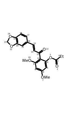 CCC(=O)Oc1cc(OC)cc(OC)c1C(=O)C=Cc1ccc2c(c1)OCO2